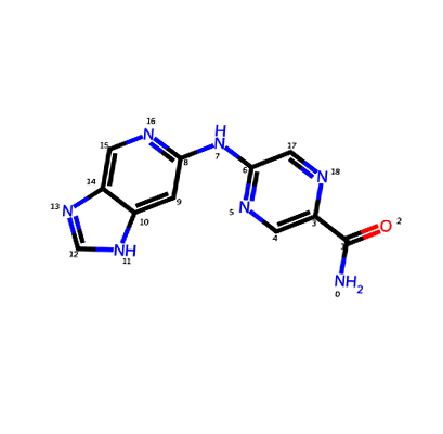 NC(=O)c1cnc(Nc2cc3[nH]cnc3cn2)cn1